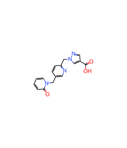 O=C(O)c1cnn(Cc2ccc(Cn3ccccc3=O)cn2)c1